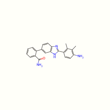 Cc1c(N)ccc(-c2nc3ccc(-c4ccccc4C(N)=O)cc3[nH]2)c1C